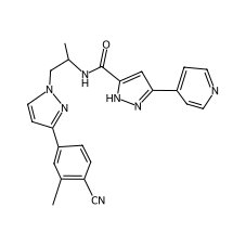 Cc1cc(-c2ccn(CC(C)NC(=O)c3cc(-c4ccncc4)n[nH]3)n2)ccc1C#N